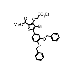 CCOC(=O)COc1c(C(=O)OC)sc(-c2ccc(OCc3ccccc3)c(OCc3ccccc3)c2)c1Br